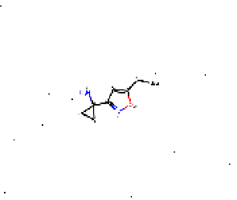 CC(C)(C)Cc1cc(C2(N)CC2)no1